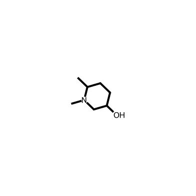 CC1CCC(O)CN1C